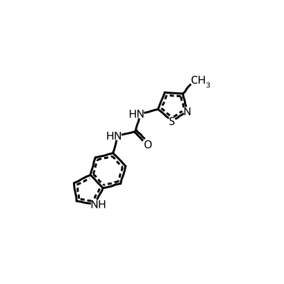 Cc1cc(NC(=O)Nc2ccc3[nH]ccc3c2)sn1